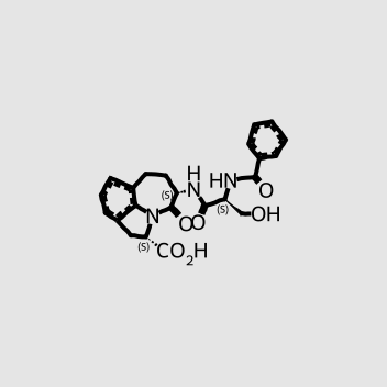 O=C(N[C@@H](CO)C(=O)N[C@H]1CCc2cccc3c2N(C1=O)[C@H](C(=O)O)C3)c1ccccc1